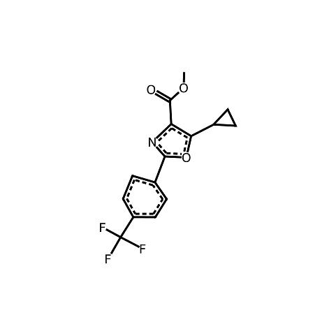 COC(=O)c1nc(-c2ccc(C(F)(F)F)cc2)oc1C1CC1